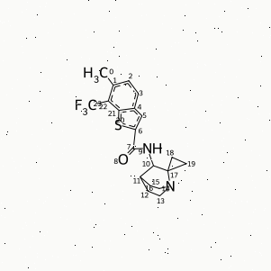 Cc1ccc2cc(C(=O)NC3C4CCN(CC4)C34CC4)sc2c1C(F)(F)F